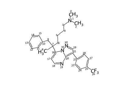 CN(C)CCC[CH]C(C)([CH]c1ccccc1)c1ccnc2c(-c3ccc(C(F)(F)F)cc3)cnn12